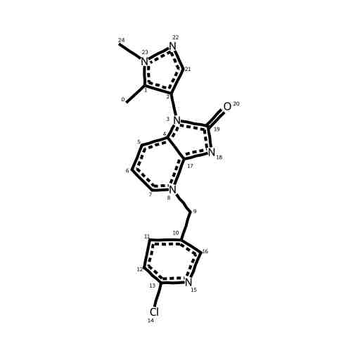 Cc1c(-n2c3cccn(Cc4ccc(Cl)nc4)c-3nc2=O)cnn1C